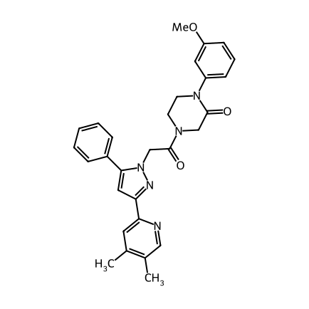 COc1cccc(N2CCN(C(=O)Cn3nc(-c4cc(C)c(C)cn4)cc3-c3ccccc3)CC2=O)c1